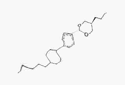 CCCCCC1CCC(c2ccc([C@H]3OC[C@H](CCC)CO3)cc2)CC1